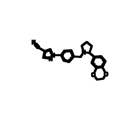 N#Cc1cnn(-c2ccc(CN3CCCC3c3ccc4c(c3)OCCO4)cc2)c1